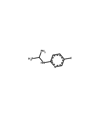 PC(P)Nc1ccc(I)cn1